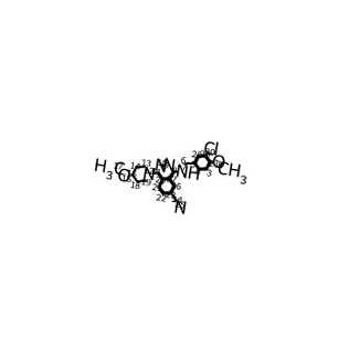 COc1ccc(CNc2nnc(N3CCC(OC)CC3)c3ccc(C#N)cc23)cc1Cl